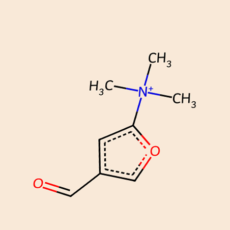 C[N+](C)(C)c1cc(C=O)co1